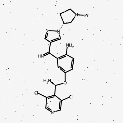 CC(C)N1CC[C@@H](n2cc(C(=N)c3cc(O[C@H](N)c4c(Cl)cncc4Cl)ccc3N)cn2)C1